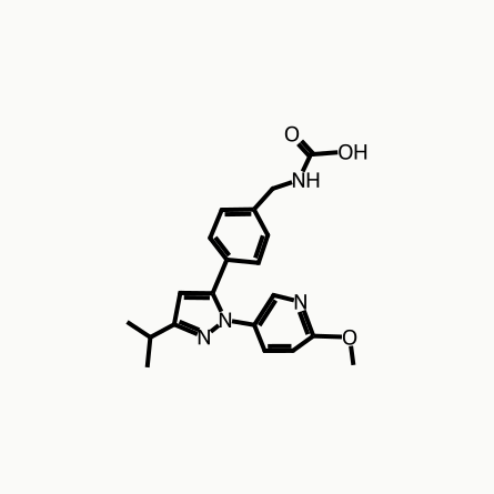 COc1ccc(-n2nc(C(C)C)cc2-c2ccc(CNC(=O)O)cc2)cn1